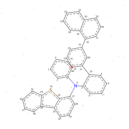 c1ccc(N(c2ccccc2-c2cccc(-c3cccc4ccccc34)c2)c2cccc3c2sc2ccccc23)cc1